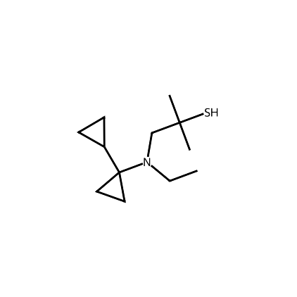 CCN(CC(C)(C)S)C1(C2CC2)CC1